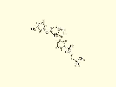 CN(C)CCNC(=O)c1cccc(-c2cnc3ccc(Oc4cccc(Cl)c4)nn23)c1